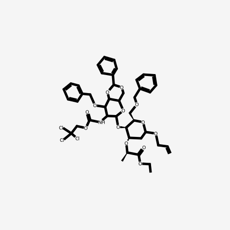 C=CCOC1C[C@H](O[C@H](C)C(=O)OCC)[C@@H](OC2OC3COC(c4ccccc4)OC3C(OCc3ccccc3)C2NC(=O)OCC(Cl)(Cl)Cl)[C@@H](COCc2ccccc2)O1